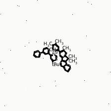 Cc1cc(-c2cc3c(cc2C)C(C)(C)c2c-3ccc3ccccc23)[n+](-[n+]2ccc(C(C)(C)C)cc2-c2cc(-c3ccccc3)ccc2C)cc1C